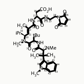 CN[C@H](C(=O)NC(C(=O)N(C)[C@H](/C=C(\C)C(=O)N[C@@H](CC(=O)O)C(=O)NCCN1C(=O)C=CC1=O)C(C)C)C(C)(C)C)C(C)(C)c1cn(C)c2ccccc12